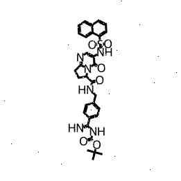 CC(C)(C)OC(=O)NC(=N)c1ccc(CNC(=O)C2CCc3ncc(NS(=O)(=O)c4cccc5ccccc45)c(=O)n32)cc1